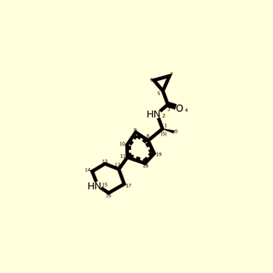 C[C@H](NC(=O)C1CC1)c1ccc(C2CCNCC2)cc1